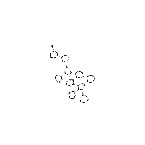 N#Cc1cccc(-c2cccc(-c3nc(-c4ccccc4)nc(-c4ccccc4-c4ccc(-c5nc(-c6ccccc6)nc(-c6ccccc6)c5-c5ccccc5)cc4)n3)c2)c1